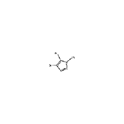 CC(C)c1c(Br)[c]nn1C(C)C